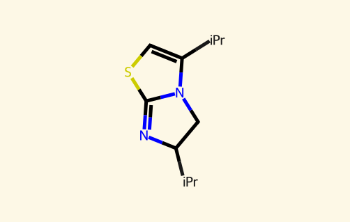 CC(C)C1=CSC2=NC(C(C)C)CN12